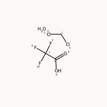 ClCCl.O.O=C(O)C(F)(F)F